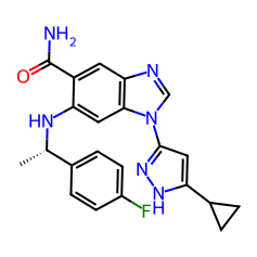 C[C@H](Nc1cc2c(cc1C(N)=O)ncn2-c1cc(C2CC2)[nH]n1)c1ccc(F)cc1